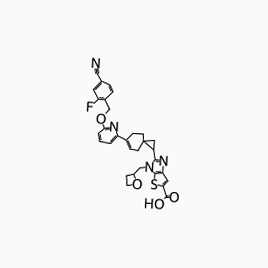 N#Cc1ccc(COc2cccc(C3=CCC4(CC3)CC4c3nc4cc(C(=O)O)sc4n3CC3CCO3)n2)c(F)c1